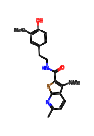 CNc1c(C(=O)NCCc2ccc(O)c(OC)c2)sc2nc(C)ccc12